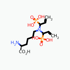 C=CC(N(CCCC[C@H](N)C(=O)O)C(C=C)P(=O)(O)O)P(=O)(O)O